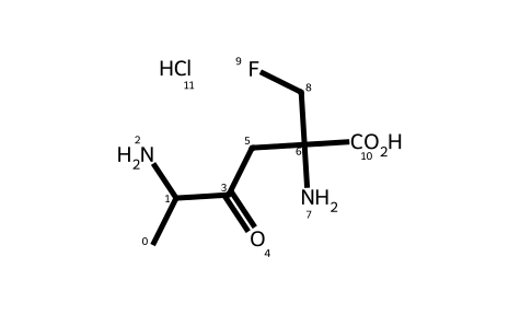 CC(N)C(=O)CC(N)(CF)C(=O)O.Cl